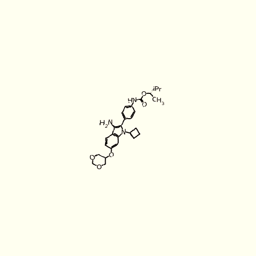 CC(C)[C@H](C)OC(=O)Nc1ccc(-c2c(N)c3ccc(OC4COCOC4)cc3n2C2CCC2)cc1